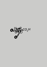 CN1CC(=O)N2[C@@H](CCC(=O)O)C(=O)N(CCCc3ccccc3)C[C@@H]2N1C(=O)NCc1ccccc1